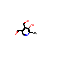 Cc1ncc(C=O)c(CO)c1O